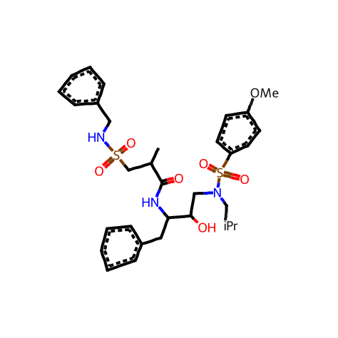 COc1ccc(S(=O)(=O)N(CC(C)C)CC(O)C(Cc2ccccc2)NC(=O)C(C)CS(=O)(=O)NCc2ccccc2)cc1